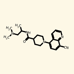 CC(CN(C)C)NC(=O)C1CCN(c2ccc(C#N)c3ncccc23)CC1